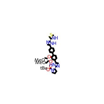 COCCOc1c(-c2ccc(-c3cnc([C@@H]4CSCN4)[nH]3)cc2)ccc(-c2cnc([C@@H]3CCCN3C(=O)OC(C)(C)C)[nH]2)c1OCCOC